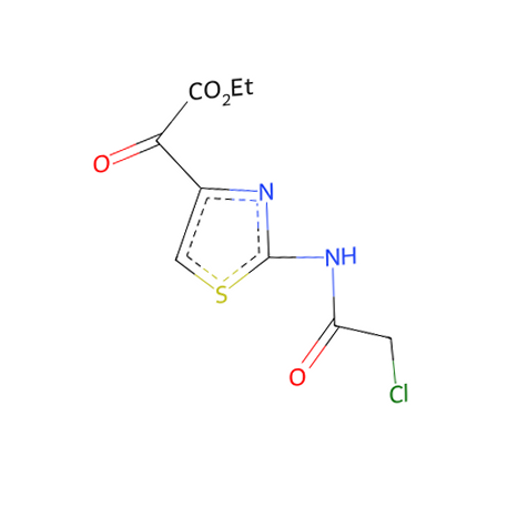 CCOC(=O)C(=O)c1csc(NC(=O)CCl)n1